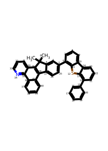 CC1(C)c2cc(-c3cccc4c3sc3c(-c5ccccc5)cccc34)ccc2-c2c1c1cccnc1c1ccccc21